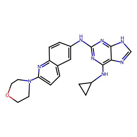 c1nc2c(NC3CC3)nc(Nc3ccc4nc(N5CCOCC5)ccc4c3)nc2[nH]1